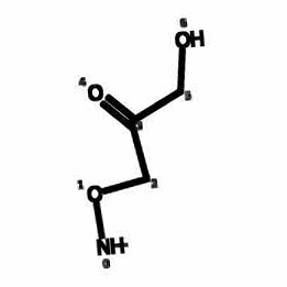 [NH]OCC(=O)CO